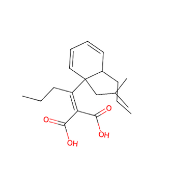 CCCC(=C(C(=O)O)C(=O)O)C1(CC(C)C)C=CC=CC1CCC